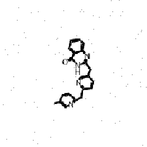 Cc1ccc(Cc2ccc(Cc3nc4ccccc4c(=O)[nH]3)cn2)nc1